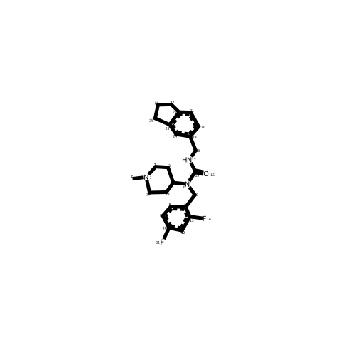 CN1CCC(N(Cc2ccc(F)cc2F)C(=O)NCc2ccc3c(c2)CCC3)CC1